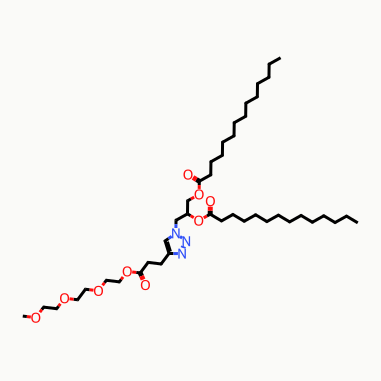 CCCCCCCCCCCCCC(=O)OCC(Cn1cc(CCC(=O)OCCOCCOCCOC)nn1)OC(=O)CCCCCCCCCCCCC